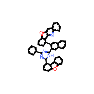 c1ccc(C2=NC(c3cccc4oc5ccccc5c34)NC(c3cc4ccccc4cc3-c3cccc4oc5cc6ccccc6nc5c34)=N2)cc1